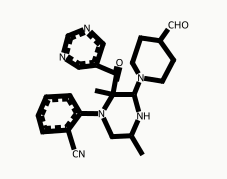 CC1CN(c2ccccc2C#N)C(C)(C(=O)c2cncnc2)C(N2CCC(C=O)CC2)N1